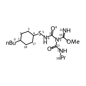 CCCCC1CCC(SNC(=O)N(C(=N)OC)C(=O)NC(C)C)CC1